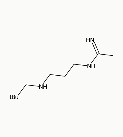 CC(=N)NCCCNCC(C)(C)C